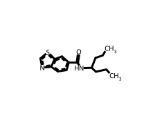 CCCC(CCC)NC(=O)c1ccc2ncsc2c1